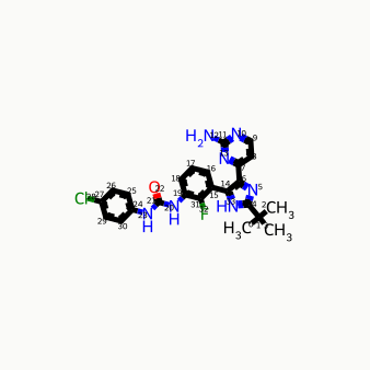 CC(C)(C)c1nc(-c2ccnc(N)n2)c(-c2cccc(NC(=O)Nc3ccc(Cl)cc3)c2F)[nH]1